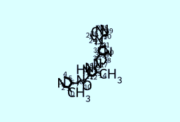 Cc1cnccc1CNC(=O)c1cc(C)c(N2CCc3ncc(N4CCCn5nccc54)cc3C2)nn1